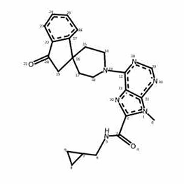 Cn1c(C(=O)NCC2CC2)nc2c(N3CCC4(CC3)CC(=O)c3ccccc34)ncnc21